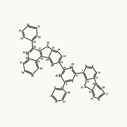 c1ccc(-c2cc(-c3cccc4c3sc3ccccc34)nc(-c3ccc4sc5c(-c6ccccc6)nc6ccccc6c5c4c3)n2)cc1